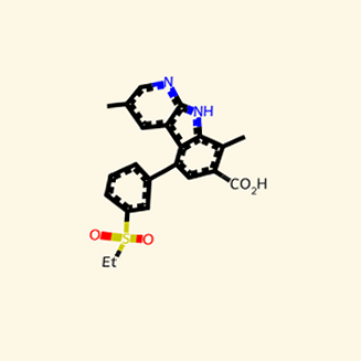 CCS(=O)(=O)c1cccc(-c2cc(C(=O)O)c(C)c3[nH]c4ncc(C)cc4c23)c1